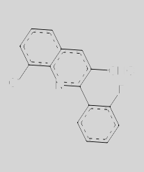 O=Cc1cc2cccc(Cl)c2nc1-c1ccccc1F